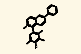 Cc1cc(-c2c3ccc(-c4ccccc4)cc3cc[n+]2C)c(C)c(C)c1F